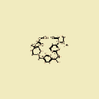 CC(C)[C@H]1COC(=O)N1c1ccnc(N[C@@H](C)c2ccc(CN3CCC(C)(NC(=O)OC(C)(C)C)CC3)cc2)n1